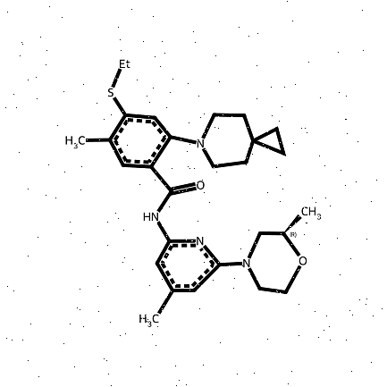 CCSc1cc(N2CCC3(CC2)CC3)c(C(=O)Nc2cc(C)cc(N3CCO[C@H](C)C3)n2)cc1C